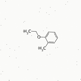 [CH2]COc1ccccc1[CH2]